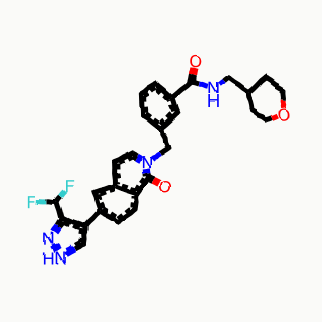 O=C(NCC1CCOCC1)c1cccc(Cn2ccc3cc(-c4c[nH]nc4C(F)F)ccc3c2=O)c1